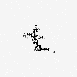 CC#Cc1cncc(-c2csc(C3(C)CC4(CC(F)(F)C4)OC(N)=N3)c2)c1